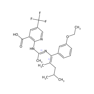 CCOc1cccc(C(/N=C(\C)Nc2ncc(C(F)(F)F)cc2C(=O)O)=C(/C)CC(C)C)c1